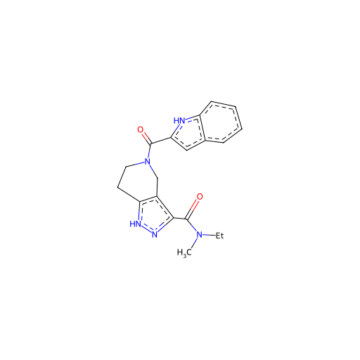 CCN(C)C(=O)c1n[nH]c2c1CN(C(=O)c1cc3ccccc3[nH]1)CC2